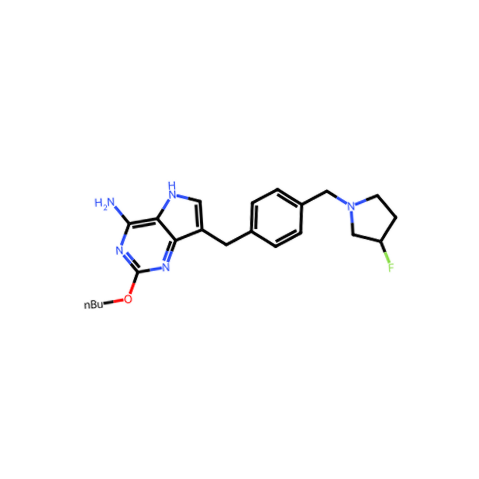 CCCCOc1nc(N)c2[nH]cc(Cc3ccc(CN4CCC(F)C4)cc3)c2n1